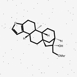 COC[C@@]1(O)C[C@@]23CC[C@@H]4c5ccoc5CC[C@@]4(C)[C@@H]2CC[C@@H]1C3